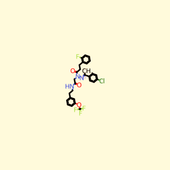 C/C(=N\N(CC(=O)NCCc1cccc(OC(F)(F)F)c1)C(=O)CCc1ccccc1F)c1ccc(Cl)cc1